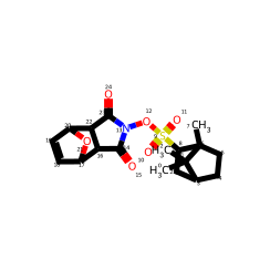 CC1(C)C2CCC1(C)C(S(=O)(=O)ON1C(=O)C3C4C=CC(O4)C3C1=O)C2